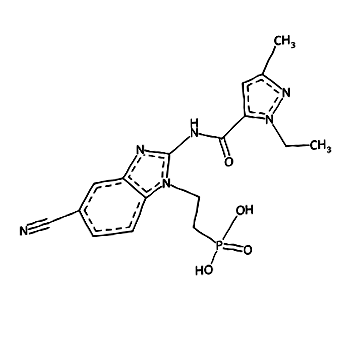 CCn1nc(C)cc1C(=O)Nc1nc2cc(C#N)ccc2n1CCP(=O)(O)O